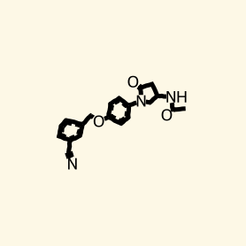 CC(=O)NC1CC(=O)N(c2ccc(OCc3cccc(C#N)c3)cc2)C1